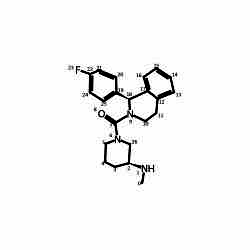 CN[C@H]1CCCN(C(=O)N2CCc3ccccc3[C@@H]2c2ccc(F)cc2)C1